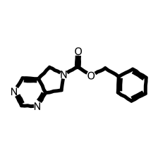 O=C(OCc1ccccc1)N1Cc2cncnc2C1